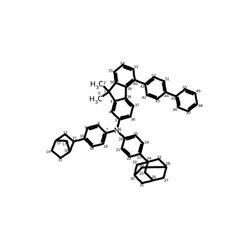 CC1(C)c2cc(N(c3ccc(C4CC5CCC4C5)cc3)c3ccc(C45CC6CC(CC(C6)C4)C5)cc3)ccc2-c2c(-c3ccc(-c4ccccc4)cc3)cccc21